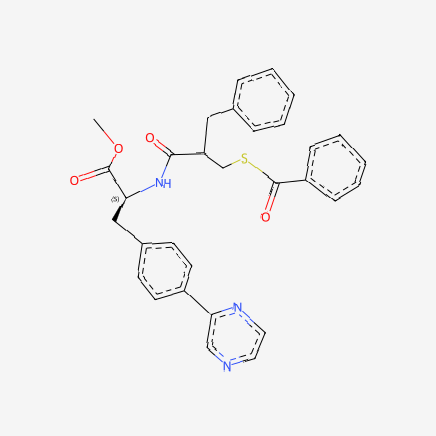 COC(=O)[C@H](Cc1ccc(-c2cnccn2)cc1)NC(=O)C(CSC(=O)c1ccccc1)Cc1ccccc1